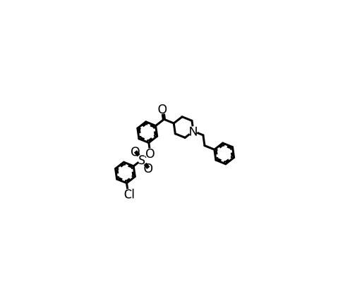 O=C(c1cccc(OS(=O)(=O)c2cccc(Cl)c2)c1)C1CCN(CCc2ccccc2)CC1